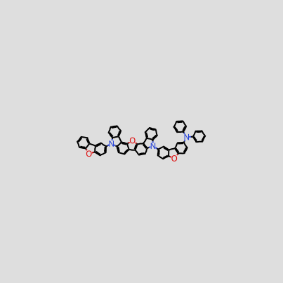 c1ccc(N(c2ccccc2)c2ccc3oc4ccc(-n5c6ccccc6c6c7oc8c(ccc9c8c8ccccc8n9-c8ccc9oc%10ccccc%10c9c8)c7ccc65)cc4c3c2)cc1